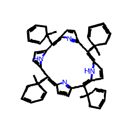 CC1(c2c3nc(c(C4(C)C=CC=CC4)c4ccc([nH]4)c(C4(C)C=CC=CC4)c4nc(c(C5(C)C=CC=CC5)c5ccc2[nH]5)C=C4)C=C3)C=CC=CC1